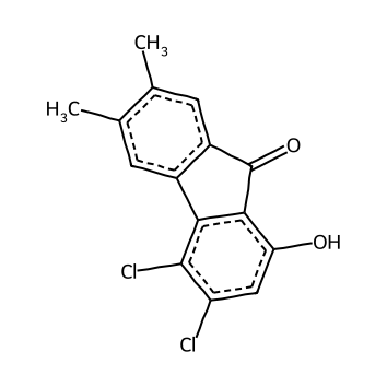 Cc1cc2c(cc1C)-c1c(Cl)c(Cl)cc(O)c1C2=O